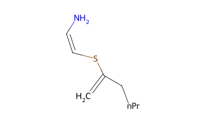 C=C(CCCC)S/C=C\N